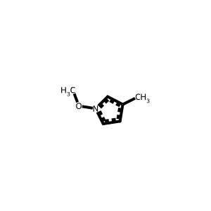 COn1ccc(C)c1